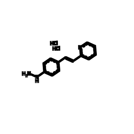 Cl.Cl.NNc1ccc(/C=C/c2ccccn2)cc1